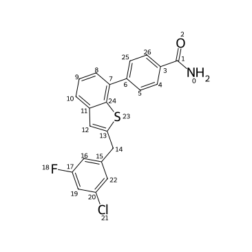 NC(=O)c1ccc(-c2cccc3cc(Cc4cc(F)cc(Cl)c4)sc23)cc1